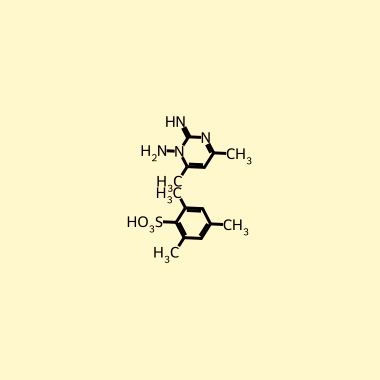 Cc1cc(C)c(S(=O)(=O)O)c(C)c1.Cc1cc(C)n(N)c(=N)n1